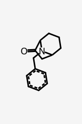 O=C1CC2CCCC1N2Cc1ccccc1